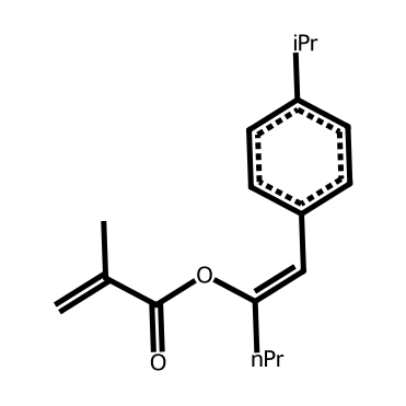 C=C(C)C(=O)OC(=Cc1ccc(C(C)C)cc1)CCC